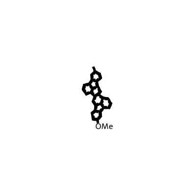 COc1ccc2c(c1)c1cccc3c4cc5c6ccc(C)cc6c6cccc(c4cc2c13)c65